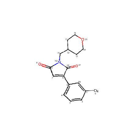 N#Cc1cccc(C2=CC(=O)N(CC3CCOCC3)C2=O)c1